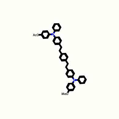 COc1ccc(N(c2ccccc2)c2ccc(CCc3ccc(CCc4ccc(N(c5ccccc5)c5ccc(OC(C)=O)cc5)cc4)cc3)cc2)cc1